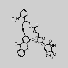 Cc1cn([C@H]2C[C@H](O)[C@@H](COC(=O)OCC(CC#Cc3ccc4sc5ccccc5c(=O)c4c3)c3ccccc3[N+](=O)[O-])O2)c(=O)[nH]c1=O